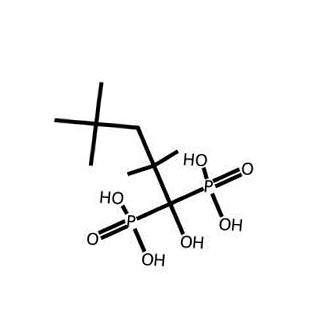 CC(C)(C)CC(C)(C)C(O)(P(=O)(O)O)P(=O)(O)O